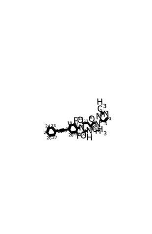 Cc1nccc(NC(=O)[C@]2(C)CC(=O)N(c3c(F)cc(C#Cc4ccccc4)cc3F)C(=O)N2)n1